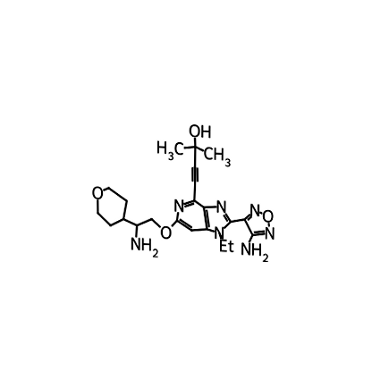 CCn1c(-c2nonc2N)nc2c(C#CC(C)(C)O)nc(OCC(N)C3CCOCC3)cc21